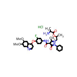 COc1cc2nccc(Oc3ccc(NC(=O)c4c(C)n(CC(C)OC(=O)C(C)N)n(-c5ccccc5)c4=O)cc3F)c2cc1OC.Cl